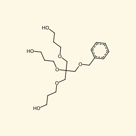 OCCCOCC(COCCCO)(COCc1ccccc1)OCCCO